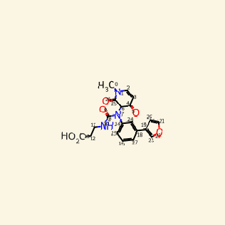 CN1C=CC(=O)C(N(C(=O)NCCC(=O)O)c2cccc(-c3ccoc3)c2)C1=O